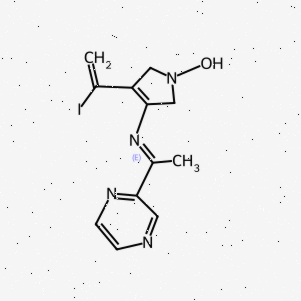 C=C(I)C1=C(/N=C(\C)c2cnccn2)CN(O)C1